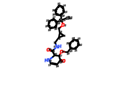 CC(C)(C)[Si](OCC1CC1CNC(=O)C1NC=CC(=O)C1OCc1ccccc1)(c1ccccc1)c1ccccc1